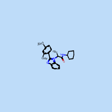 CCCCC(C(=O)NC1CCCCC1)n1c(-c2ccc(OC)cc2OC)nc2ccccc21